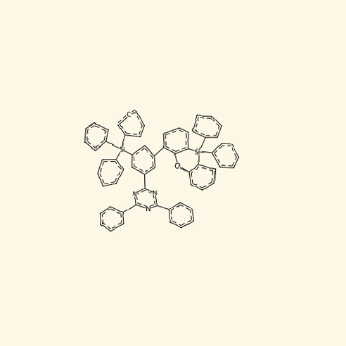 c1ccc(-c2nc(-c3ccccc3)nc(-c3cc(-c4cccc5c4Oc4ccccc4[Si]5(c4ccccc4)c4ccccc4)cc([Si](c4ccccc4)(c4ccccc4)c4ccccc4)c3)n2)cc1